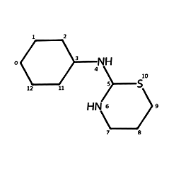 C1CCC(NC2NCCCS2)CC1